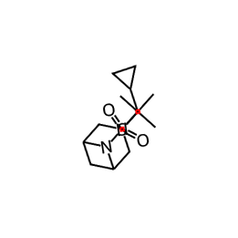 CC(C)(C)N1CC2CC(C1)N2S(=O)(=O)CC1CC1